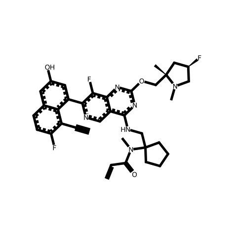 C#Cc1c(F)ccc2cc(O)cc(-c3ncc4c(NCC5(N(C)C(=O)C=C)CCCC5)nc(OC[C@]5(C)C[C@@H](F)CN5C)nc4c3F)c12